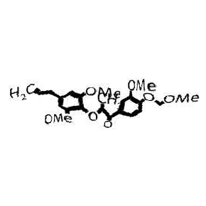 C=CCc1cc(OC)c(OC(C)C(=O)c2ccc(OCOC)c(OC)c2)c(OC)c1